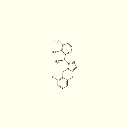 Cc1cccc([C@H](C)c2nccn2Cc2c(F)cccc2F)c1C